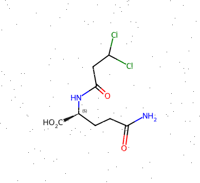 NC(=O)CC[C@H](NC(=O)CC(Cl)Cl)C(=O)O